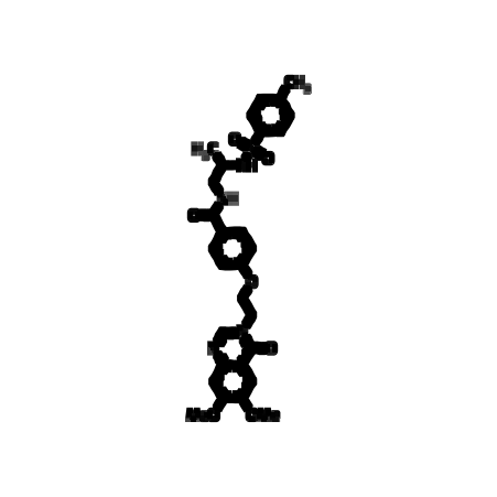 COc1cc2ncn(CCOc3ccc(C(=O)NCC(C)NS(=O)(=O)c4ccc(C)cc4)cc3)c(=O)c2cc1OC